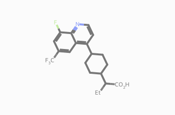 CCC(C(=O)O)C1CCC(c2ccnc3c(F)cc(C(F)(F)F)cc23)CC1